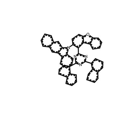 c1ccc2cc3c(cc2c1)c1ccccc1n3-c1ccc2oc3ccccc3c2c1-c1nc(-c2cccc3ccccc23)nc(-c2cccc3ccccc23)n1